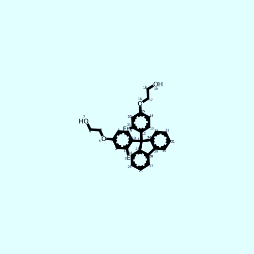 CCc1cc(OCCO)ccc1C1(c2ccc(OCCO)cc2CC)c2ccccc2-c2ccccc21